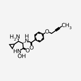 CC#CCOc1ccc(C(=O)N[C@H](C(=O)NO)[C@H](N)C2CC2)cc1